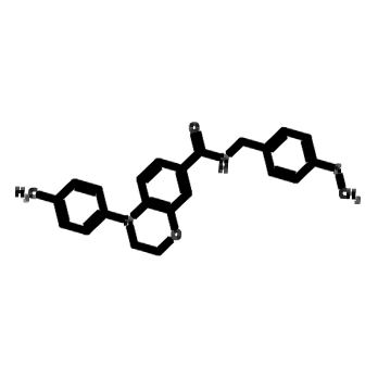 CSc1ccc(CNC(=O)c2ccc3c(c2)OCCN3c2ccc(C)cc2)cc1